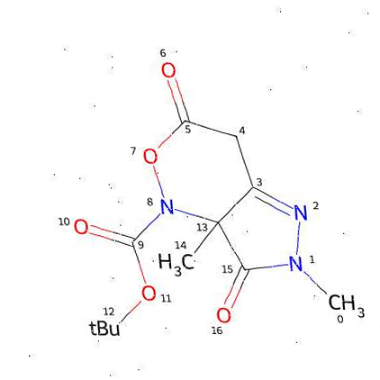 CN1N=C2CC(=O)ON(C(=O)OC(C)(C)C)C2(C)C1=O